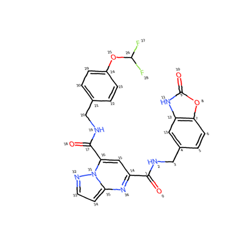 O=C(NCc1ccc2oc(=O)[nH]c2c1)c1cc(C(=O)NCc2ccc(OC(F)F)cc2)n2nccc2n1